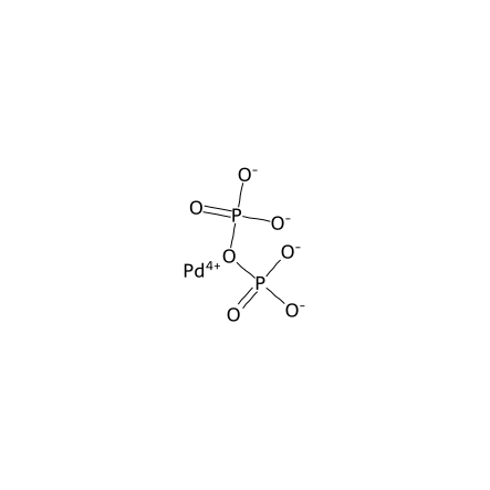 O=P([O-])([O-])OP(=O)([O-])[O-].[Pd+4]